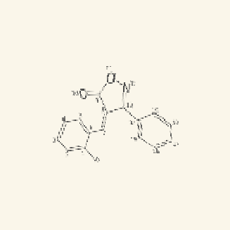 Cc1ccccc1/C=C1\C(=O)ON=C1c1ccccc1